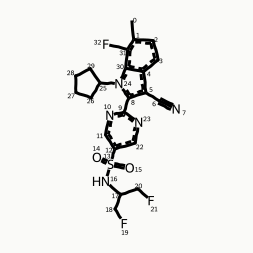 Cc1ccc2c(C#N)c(-c3ncc(S(=O)(=O)NC(CF)CF)cn3)n(C3CCCC3)c2c1F